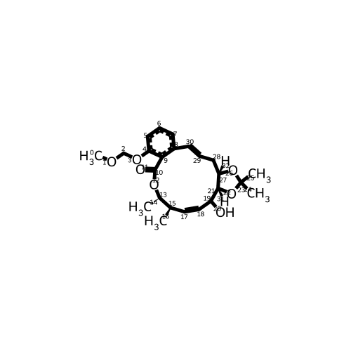 COCOc1cccc2c1C(=O)O[C@@H](C)[C@H](C)/C=C\C(O)[C@H]1OC(C)(C)O[C@H]1C/C=C/2